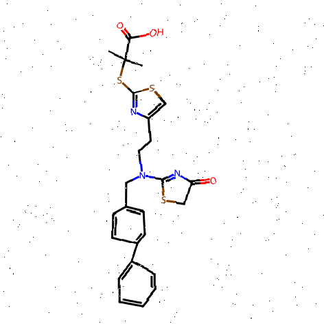 CC(C)(Sc1nc(CCN(Cc2ccc(-c3ccccc3)cc2)C2=NC(=O)CS2)cs1)C(=O)O